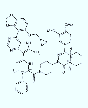 COc1ccc(C2=NN(C3CCN(C(=O)[C@H](NC(=O)c4c(C)[nH]c5c(-c6c(OCC7CC7)ccc7c6OCO7)ncnc45)[C@@H](C)c4ccccc4)CC3)C(=O)[C@@H]3CCCC[C@H]23)cc1OC